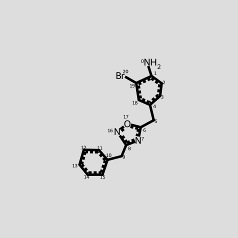 Nc1ccc(Cc2nc(Cc3ccccc3)no2)cc1Br